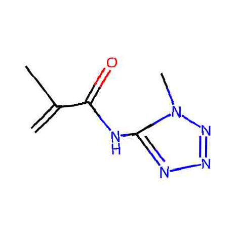 C=C(C)C(=O)Nc1nnnn1C